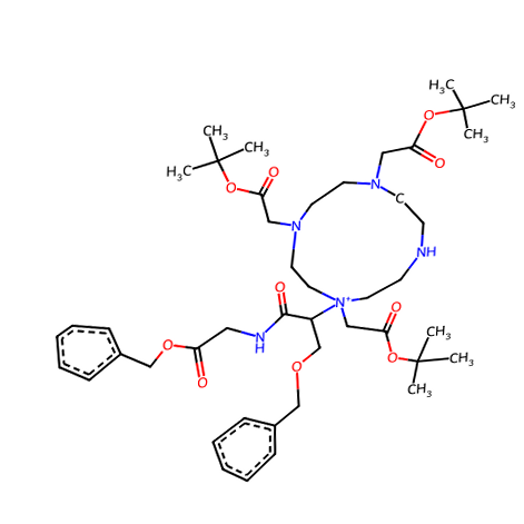 CC(C)(C)OC(=O)CN1CCNCC[N+](CC(=O)OC(C)(C)C)(C(COCc2ccccc2)C(=O)NCC(=O)OCc2ccccc2)CCN(CC(=O)OC(C)(C)C)CC1